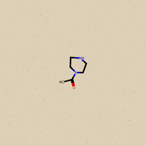 N#CC(=O)N1CCNCC1